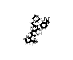 FC(F)(F)c1ccc(Nc2nc(CN3CCSCC3)nc3cc(-c4ncccc4C(F)(F)F)cnc23)cc1